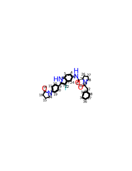 O=C(Nc1ccc2[nH]c(-c3ccc(N4CCCC4=O)cc3)c(F)c2c1)[C@@H]1CCCN1C(=O)Cc1ccccc1